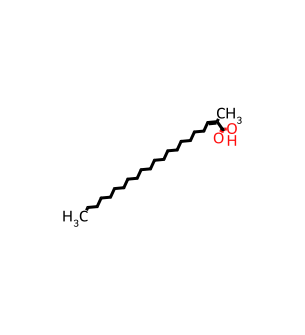 CCCCCCCCCCCCCCCCCCCC=C(C)C(=O)O